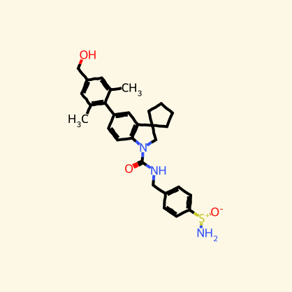 Cc1cc(CO)cc(C)c1-c1ccc2c(c1)C1(CCCC1)CN2C(=O)NCc1ccc([S+](N)[O-])cc1